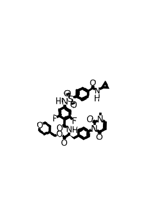 Cn1ccc(=O)n(-c2ccc(C[C@H](NC(=O)c3c(F)cc(NS(=O)(=O)c4ccc(C(=O)NC5CC5)cc4)cc3F)C(=O)OCC3CCOCC3)cc2)c1=O